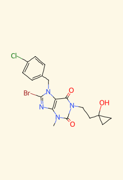 Cn1c(=O)n(CCC2(O)CC2)c(=O)c2c1nc(Br)n2Cc1ccc(Cl)cc1